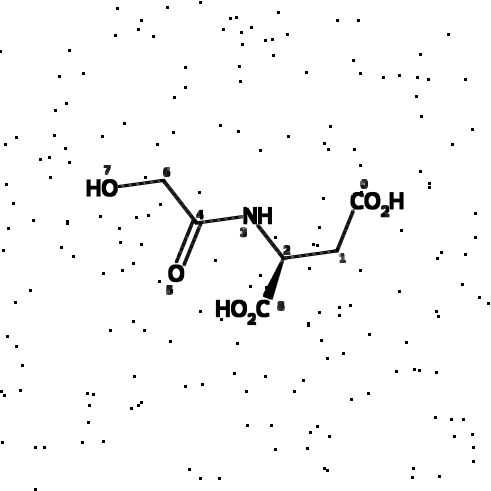 O=C(O)C[C@H](NC(=O)CO)C(=O)O